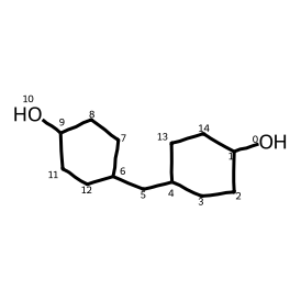 OC1CCC(CC2CCC(O)CC2)CC1